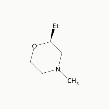 CC[C@H]1CN(C)CCO1